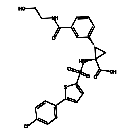 O=C(NCCO)c1cccc([C@@H]2C[C@]2(NS(=O)(=O)c2ccc(-c3ccc(Cl)cc3)s2)C(=O)O)c1